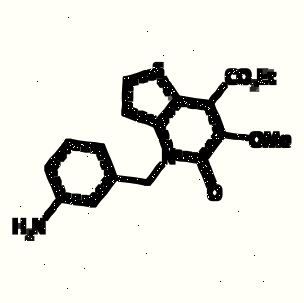 CCOC(=O)c1c(OC)c(=O)n(Cc2cccc(N)c2)c2ccsc12